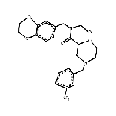 CC(C)CN(Cc1ccc2c(c1)OCCO2)C(=O)C1CN(Cc2cccc(C(F)(F)F)c2)CCO1